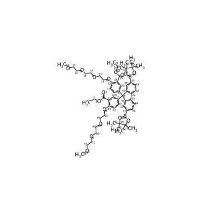 CCOC(=O)c1cc(C2(c3ccc(OCCOCCOCCOC)c(C(=O)OCC)c3)c3cc(B4OC(C)(C)C(C)(C)O4)ccc3-c3ccc(B4OC(C)(C)C(C)(C)O4)cc32)ccc1OCCOCCOCCOC